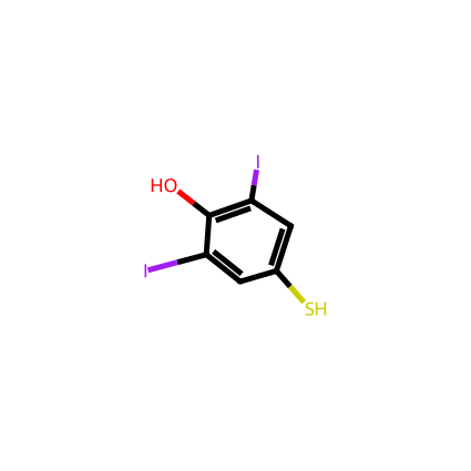 Oc1c(I)cc(S)cc1I